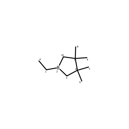 CCB1CC(C)(C)C(C)(C)C1